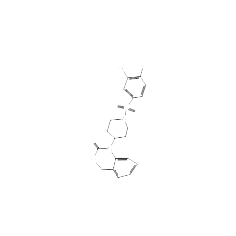 O=C1OCc2ccccc2N1C1CCN(S(=O)(=O)c2ccc(Cl)c([N+](=O)[O-])c2)CC1